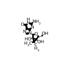 CC1(C)[C@]2(O)[C@@H](CO)O[C@@H](n3cnc4c(=O)[nH]c(N)nc43)[C@]12O